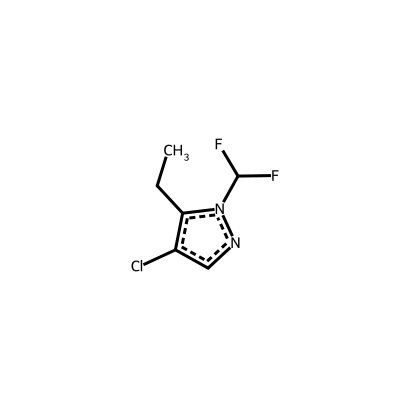 CCc1c(Cl)cnn1C(F)F